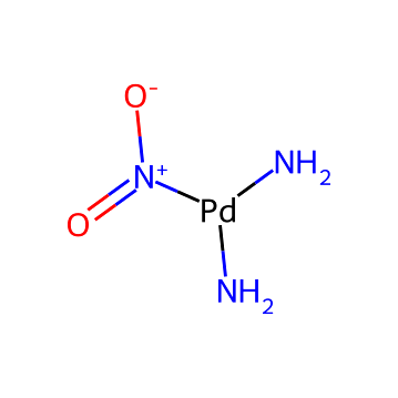 [NH2][Pd]([NH2])[N+](=O)[O-]